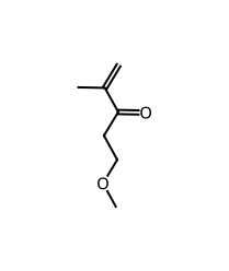 C=C(C)C(=O)CCOC